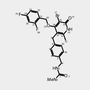 CNC(=O)NCc1ccc(Cc2c(C)[nH]c(=O)c(Br)c2OCc2ccc(F)cc2F)cc1